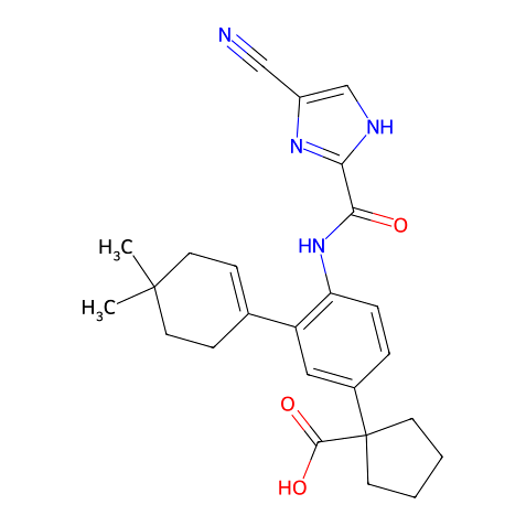 CC1(C)CC=C(c2cc(C3(C(=O)O)CCCC3)ccc2NC(=O)c2nc(C#N)c[nH]2)CC1